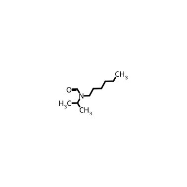 CCCCCCN(C=O)C(C)C